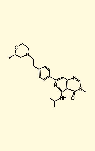 CC(C)Nc1nc(-c2ccc(CCN3CCO[C@H](C)C3)cc2)cc2ncn(C)c(=O)c12